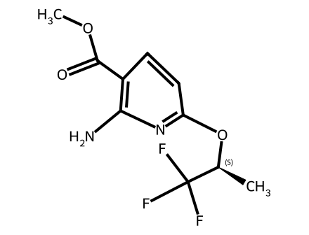 COC(=O)c1ccc(O[C@@H](C)C(F)(F)F)nc1N